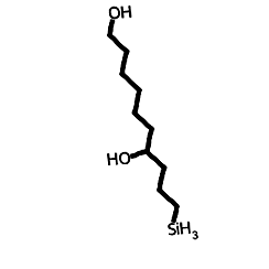 OCCCCCCC(O)CCC[SiH3]